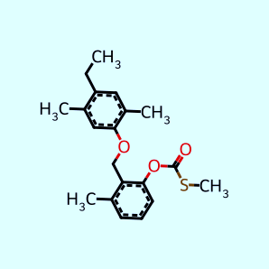 CCc1cc(C)c(OCc2c(C)cccc2OC(=O)SC)cc1C